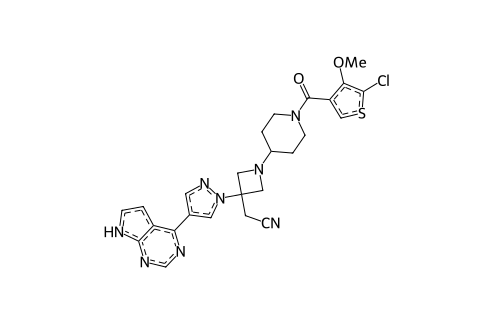 COc1c(C(=O)N2CCC(N3CC(CC#N)(n4cc(-c5ncnc6[nH]ccc56)cn4)C3)CC2)csc1Cl